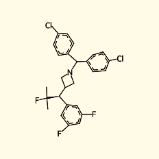 CC(C)(F)[C@H](c1cc(F)cc(F)c1)C1CN(C(c2ccc(Cl)cc2)c2ccc(Cl)cc2)C1